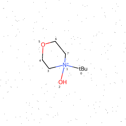 CC(C)(C)[N+]1(O)CCOCC1